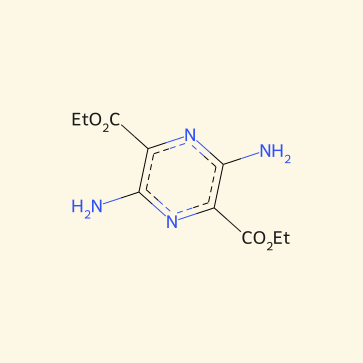 CCOC(=O)c1nc(N)c(C(=O)OCC)nc1N